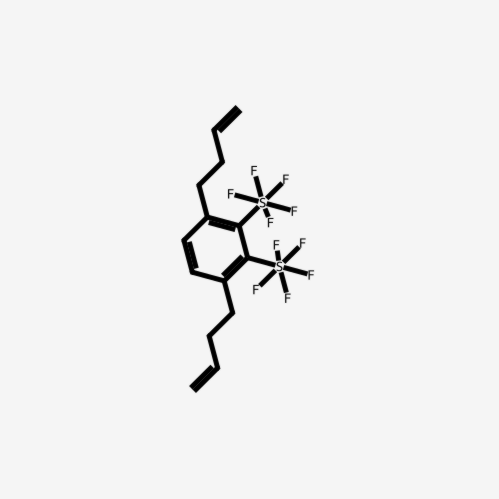 C=CCCc1ccc(CCC=C)c(S(F)(F)(F)(F)F)c1S(F)(F)(F)(F)F